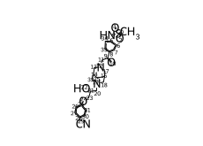 CS(=O)(=O)Nc1ccc(C(=O)CN2CC3CC(C2)CN(CC(O)COc2ccc(C#N)cc2)C3)cc1